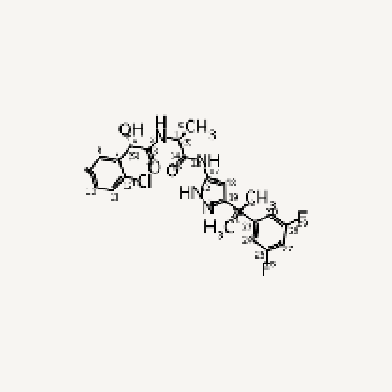 C[C@H](NC(=O)[C@@H](O)c1ccccc1Cl)C(=O)Nc1cc(C(C)(C)c2cc(F)cc(F)c2)n[nH]1